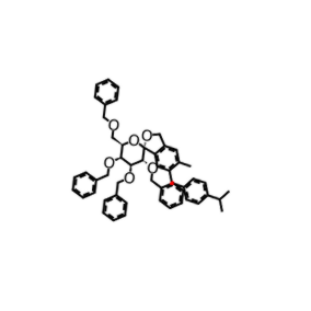 Cc1cc2c(cc1Cc1ccc(C(C)C)cc1)[C@]1(OC2)O[C@H](COCc2ccccc2)[C@H](OCc2ccccc2)[C@H](OCc2ccccc2)[C@H]1OCc1ccccc1